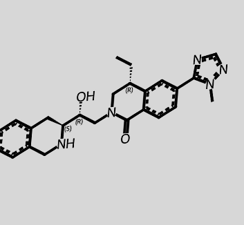 CC[C@H]1CN(C[C@@H](O)[C@@H]2Cc3ccccc3CN2)C(=O)c2ccc(-c3ncnn3C)cc21